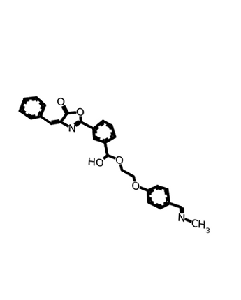 CN=Cc1ccc(OCCOC(O)c2cccc(C3=N/C(=C/c4ccccc4)C(=O)O3)c2)cc1